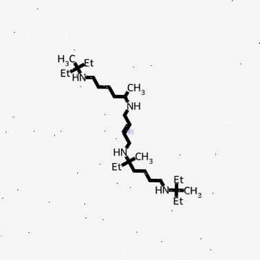 CCC(C)(CC)NCCCCC(C)NC/C=C/CNC(C)(CC)CCCCNC(C)(CC)CC